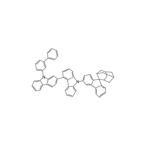 c1ccc(-c2cccc(-n3c4ccccc4c4ccc(-c5cccc6c5c5ccccc5n6-c5ccc6c(c5)-c5ccccc5C65C6CC7CC(C6)CC5C7)cc43)c2)cc1